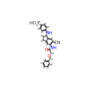 N#Cc1cc2c(cc1NC(=O)COCc1ccccc1)CCC2Nc1ccc(C(=O)O)cc1